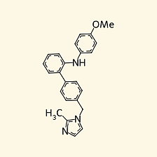 COc1ccc(Nc2ccccc2-c2ccc(Cn3ccnc3C)cc2)cc1